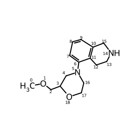 COCC1CN(c2cccc3c2CCNC3)CCO1